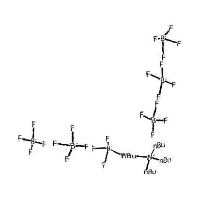 CCCC[N+](CCCC)(CCCC)CCCC.F[B-](F)(F)F.F[B-](F)(F)F.F[B-](F)(F)F.F[B-](F)(F)F.F[B-](F)(F)F.F[B-](F)(F)F